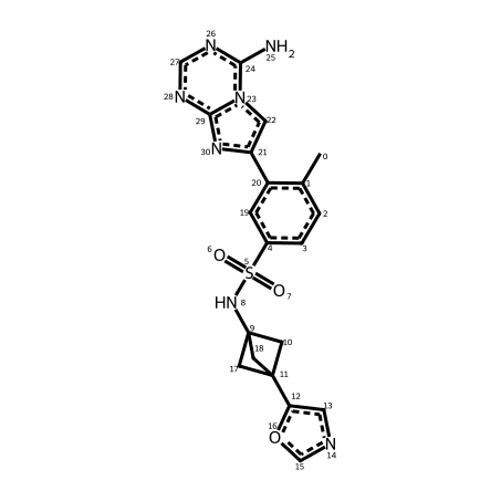 Cc1ccc(S(=O)(=O)NC23CC(c4cnco4)(C2)C3)cc1-c1cn2c(N)ncnc2n1